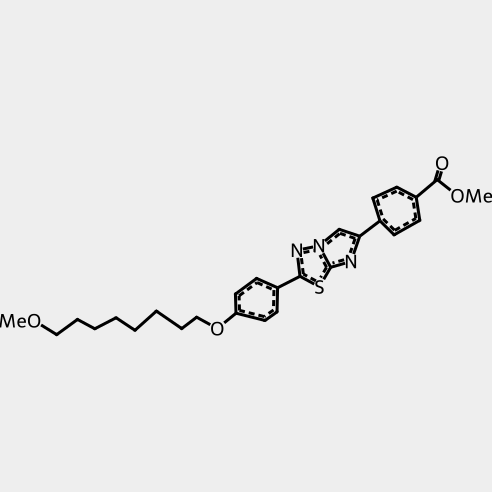 COCCCCCCCCOc1ccc(-c2nn3cc(-c4ccc(C(=O)OC)cc4)nc3s2)cc1